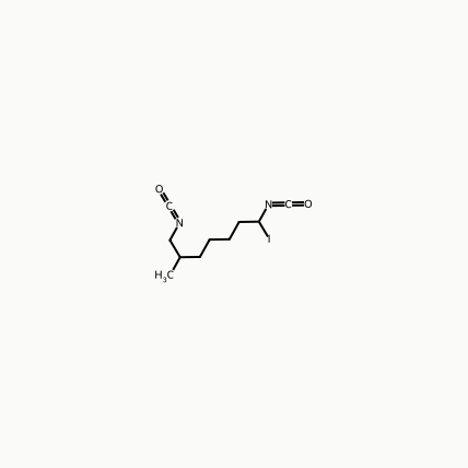 CC(CCCCC(I)N=C=O)CN=C=O